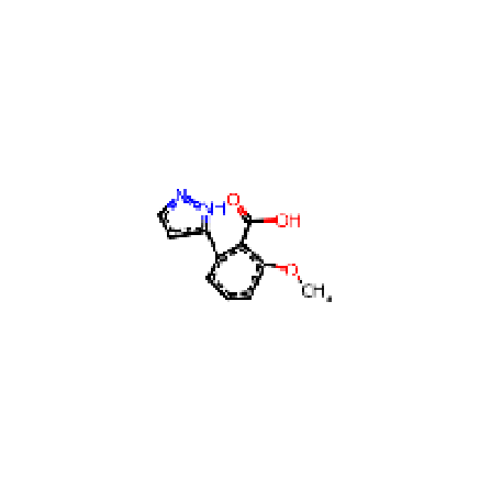 COc1cccc(-c2ccn[nH]2)c1C(=O)O